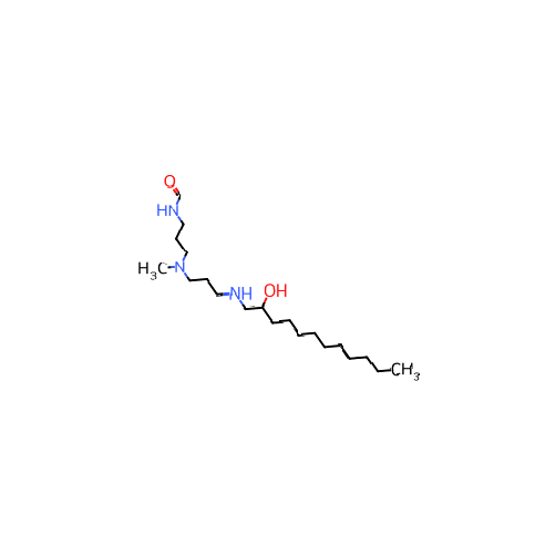 CCCCCCCCCCC(O)CNCCCN(C)CCCNC=O